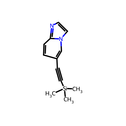 C[Si](C)(C)C#Cc1ccc2nccn2c1